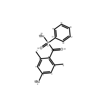 Cc1cc(C(C)(C)C)cc(C)c1C(=O)P(=O)(c1ccccc1)C(C)(C)C